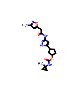 Cc1cc(CC(=O)Nc2cc(C3CCC(OC(=O)NC4(C)CC4)C3)[nH]n2)on1